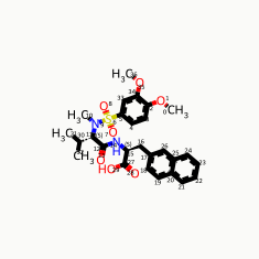 COc1ccc(S(=O)(=O)N(C)[C@H](C(=O)N[C@@H](Cc2ccc3ccccc3c2)C(=O)O)C(C)C)cc1OC